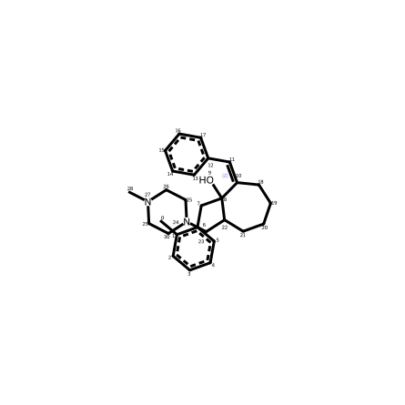 Cc1ccccc1CC1(O)/C(=C\c2ccccc2)CCCCC1CN1CCN(C)CC1